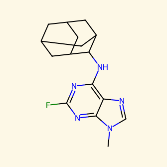 Cn1cnc2c(NC3C4CC5CC(C4)CC3C5)nc(F)nc21